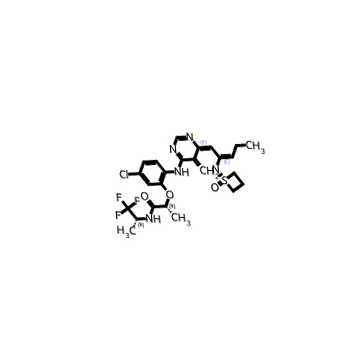 C=c1c(Nc2ccc(Cl)cc2O[C@H](C)C(=O)N[C@H](C)C(F)(F)F)ncn/c1=C/C(=C\CC)N=S1(=O)CCC1